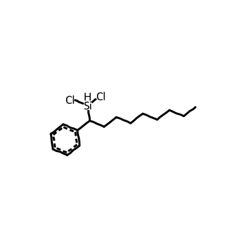 CCCCCCCCC(c1ccccc1)[SiH](Cl)Cl